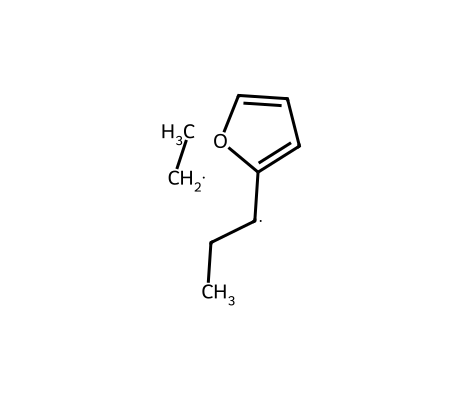 CC[CH]c1ccco1.[CH2]C